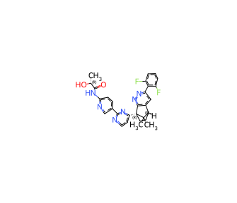 C[C@@H](O)C(=O)Nc1ccc(-c2nccc([C@]34CC[C@@H](c5cc(-c6c(F)cccc6F)nnc53)C4(C)C)n2)cn1